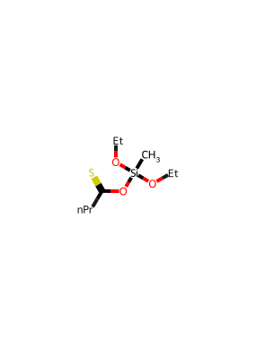 CCCC(=S)O[Si](C)(OCC)OCC